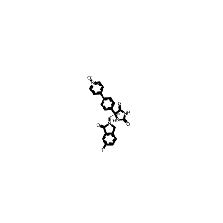 O=C1NC(=O)[C@](CN2Cc3ccc(F)cc3C2=O)(c2ccc(-c3cc[n+]([O-])cc3)cc2)N1